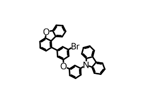 Brc1cc(Oc2cccc(-n3c4ccccc4c4ccccc43)c2)cc(-c2cccc3oc4ccccc4c23)c1